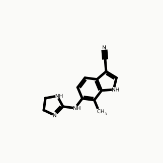 Cc1c(NC2=NCCN2)ccc2c(C#N)c[nH]c12